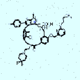 C=Nc1sc(-c2ccc(F)cc2)c2c1/C(=N\C)O[C@@H](C(=O)O)Cc1cc(ccc1OCc1ccnc(OCCC(F)(F)F)n1)CC(=O)N(CCN1CCC(F)(F)CC1)Cc1ccc-2c(C)c1Cl